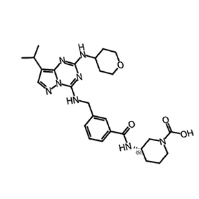 CC(C)c1cnn2c(NCc3cccc(C(=O)N[C@H]4CCCN(C(=O)O)C4)c3)nc(NC3CCOCC3)nc12